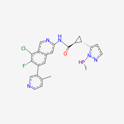 Cc1ccncc1-c1cc2cc(NC(=O)[C@H]3C[C@@H]3c3ccnn3PI)ncc2c(Cl)c1F